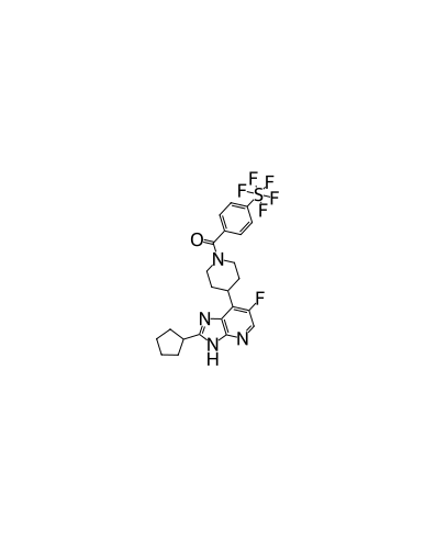 O=C(c1ccc(S(F)(F)(F)(F)F)cc1)N1CCC(c2c(F)cnc3[nH]c(C4CCCC4)nc23)CC1